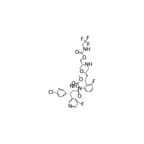 COC(=O)N(C(=O)[C@@H](N)[C@@H](c1ccc(Cl)cc1)c1cncc(F)c1)c1cccc(F)c1CC[C@@H]1CN[C@H](COC(=O)NCC(F)(F)F)CO1